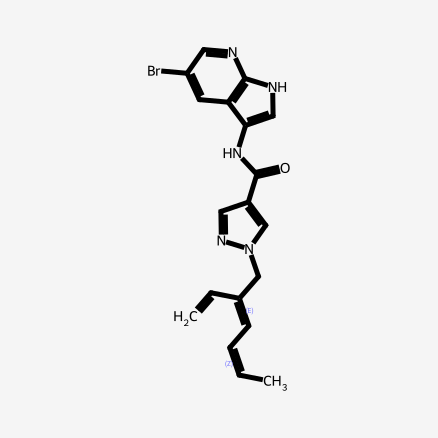 C=C/C(=C\C=C/C)Cn1cc(C(=O)Nc2c[nH]c3ncc(Br)cc23)cn1